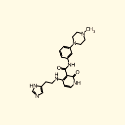 CN1CCN(c2cccc(NC(=O)c3c(NCCc4cnc[nH]4)cc[nH]c3=O)c2)CC1